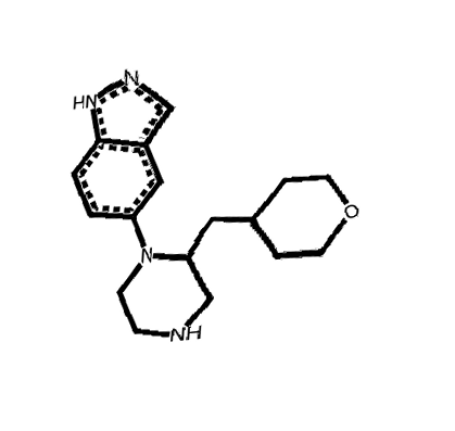 c1cc2[nH]ncc2cc1N1CCNCC1CC1CCOCC1